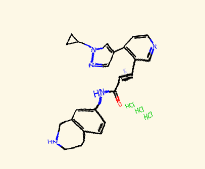 Cl.Cl.Cl.O=C(/C=C/c1cnccc1-c1cnn(C2CC2)c1)Nc1ccc2c(c1)CNCC2